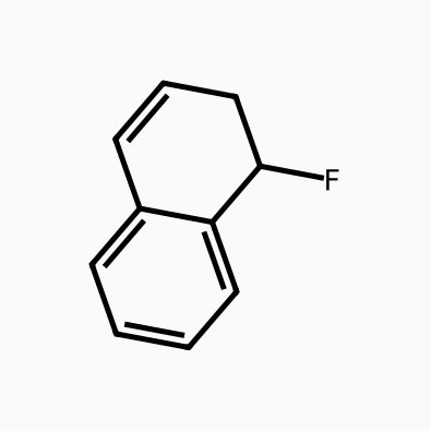 FC1CC=Cc2ccccc21